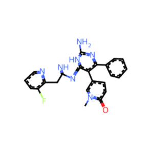 Cn1cc(-c2c(-c3ccccc3)nc(N)[nH]/c2=N\C(=N)Cc2ncccc2F)ccc1=O